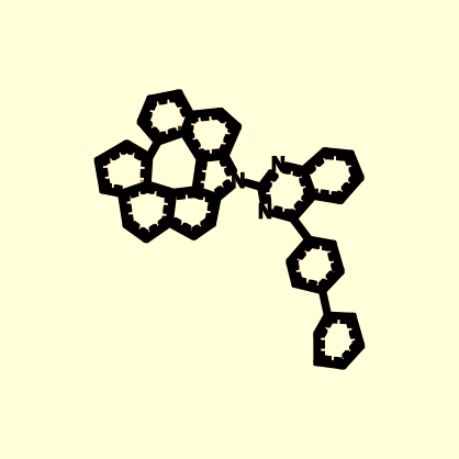 c1ccc(-c2ccc(-c3nc(-n4c5ccc6cccc7c6c5c5c6c(ccc8cccc-7c86)ccc54)nc4ccccc34)cc2)cc1